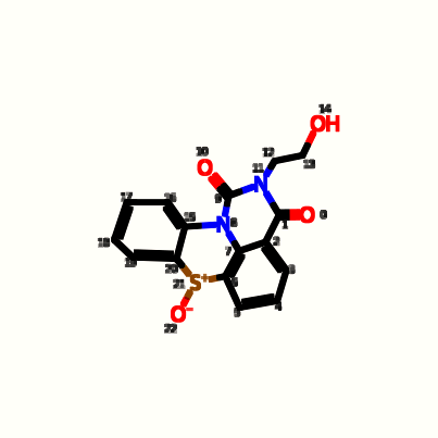 O=c1c2cccc3c2n(c(=O)n1CCO)-c1ccccc1[S+]3[O-]